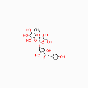 C[C@@H]1C[C@@H](O[C@@H]2[C@@H](Oc3cc(O)c(C(=O)CCc4ccc(O)cc4)c(O)c3)OC(CO)[C@H](O)[C@H]2O)[C@H](O)[C@H](O)[C@H]1O